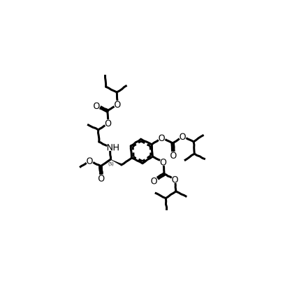 CCC(C)OC(=O)OC(C)CN[C@@H](Cc1ccc(OC(=O)OC(C)C(C)C)c(OC(=O)OC(C)C(C)C)c1)C(=O)OC